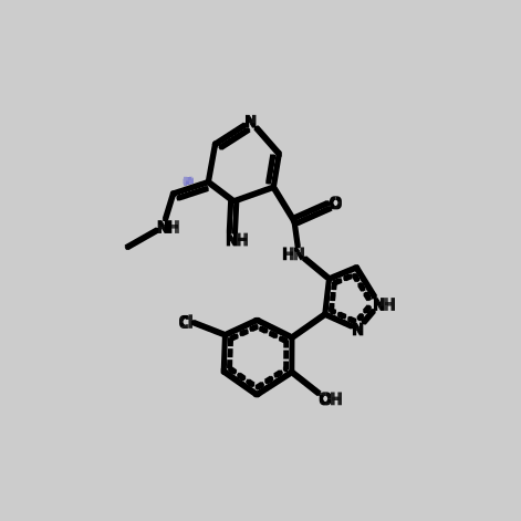 CN/C=C1/C=NC=C(C(=O)Nc2c[nH]nc2-c2cc(Cl)ccc2O)C1=N